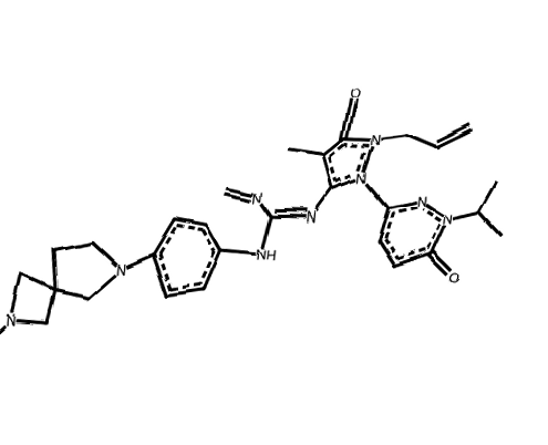 C=CCn1c(=O)c(C)c(/N=C(\N=C)Nc2ccc(N3CCC4(CN(C)C4)C3)cc2)n1-c1ccc(=O)n(C(C)C)n1